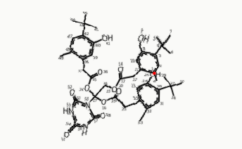 Cc1cc(C(C)(C)C)c(O)cc1CC(=O)OCC(OC(=O)Cc1cc(O)c(C(C)(C)C)cc1C)(OC(=O)Cc1cc(O)c(C(C)(C)C)cc1C)n1c(=O)[nH]c(=O)[nH]c1=O